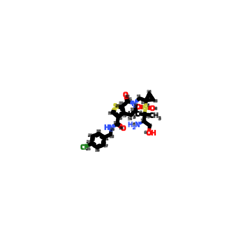 CC(C)([C@H](N)CO)S(=O)(=O)C1(CN2CCc3c(C(=O)NCc4ccc(Cl)cc4)csc3C2=O)CC1